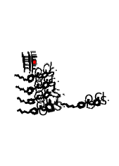 CCCCCc1ccc(C(=O)Oc2ccc([S])c(Cl)c2)cc1.CCCCCc1ccc(C(=O)Oc2ccc([S])c(Cl)c2)cc1.CCCCCc1ccc(C(=O)Oc2ccc([S])c(Cl)c2)cc1.CCCCCc1ccc(C(=O)Oc2ccc([S])c(Cl)c2)cc1.CCCCCc1ccc(C(=O)Oc2ccc([S])c(Cl)c2)cc1.F.F.F.F.F